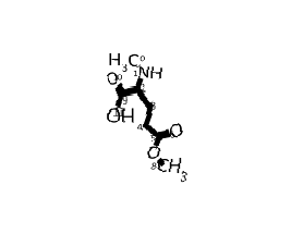 CNC(CCC(=O)OC)C(=O)O